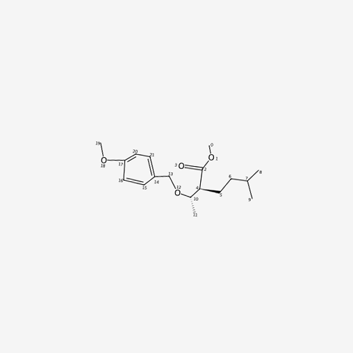 COC(=O)[C@@H](CCC(C)C)[C@H](C)OCc1ccc(OC)cc1